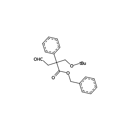 CC(C)(C)OCC(CC=O)(C(=O)OCc1ccccc1)c1ccccc1